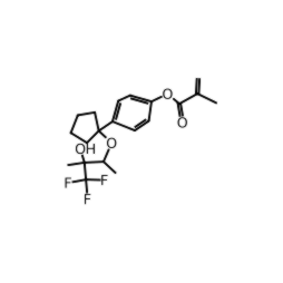 C=C(C)C(=O)Oc1ccc(C2(OC(C)C(C)(O)C(F)(F)F)CCCC2)cc1